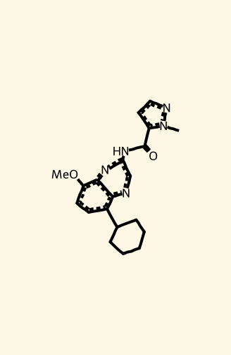 COc1ccc(C2CCCCC2)c2ncc(NC(=O)c3ccnn3C)nc12